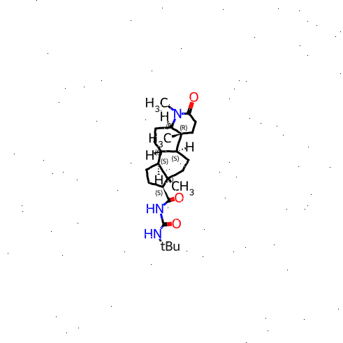 CN1C(=O)CC[C@]2(C)[C@H]3CC[C@]4(C)[C@@H](C(=O)NC(=O)NC(C)(C)C)CC[C@H]4[C@@H]3CC[C@@H]12